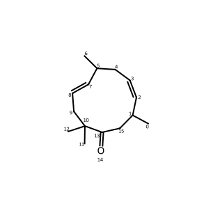 CC1/C=C\CC(C)/C=C/CC(C)(C)C(=O)C1